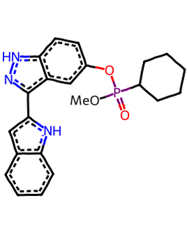 COP(=O)(Oc1ccc2[nH]nc(-c3cc4ccccc4[nH]3)c2c1)C1CCCCC1